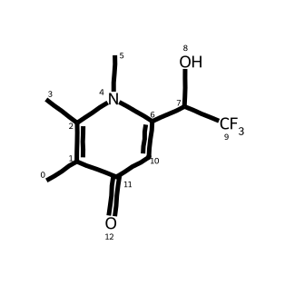 Cc1c(C)n(C)c(C(O)C(F)(F)F)cc1=O